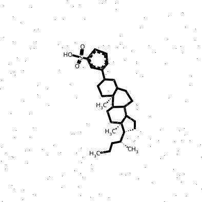 CCC[C@@H](C)[C@H]1CCC2C3CCC4CC(c5[c]ccc(S(=O)(=O)O)c5)CC[C@]4(C)C3CC[C@@]21C